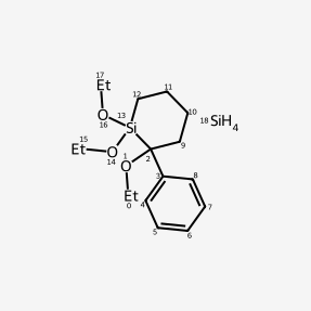 CCOC1(c2ccccc2)CCCC[Si]1(OCC)OCC.[SiH4]